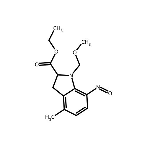 CCOC(=O)C1Cc2c(C)ccc(N=O)c2N1COC